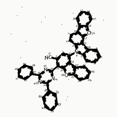 N#Cc1cc(-n2c3ccccc3c3c4oc5ccccc5c4ccc32)c2c(oc3ccccc32)c1-c1nc(-c2ccccc2)nc(-c2ccccc2)n1